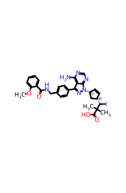 COc1ccccc1C(=O)NCc1ccc(-c2nn([C@@H]3C=C[C@H](C(I)C(C)(C)C(=O)O)C3)c3ncnc(N)c23)cc1